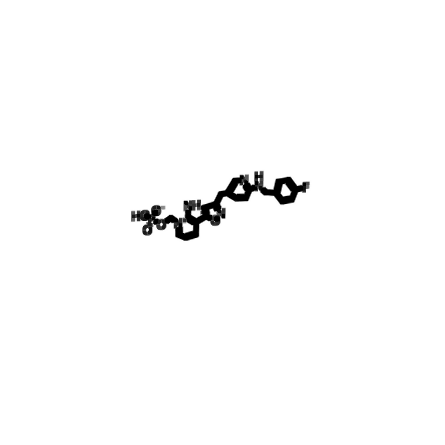 Nc1c(-c2cc(Cc3ccc(NCc4ccc(F)cc4)nc3)no2)ccc[n+]1COP(=O)([O-])O